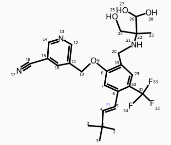 CC(C)(C)/C=C/c1cc(OCc2cncc(C#N)c2)c(CNC(C)(CO)C(O)O)cc1C(F)(F)F